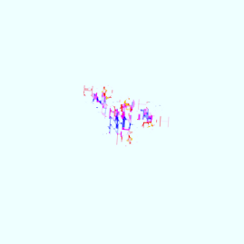 Cc1cccc(Nc2nc(Nc3cc(S(=O)(=O)O)cc4cc(S(=O)(=O)O)c(/N=N/c5cccc6ccccc56)c(O)c34)nc(Nc3cc(S(=O)(=O)O)cc4cc(S(=O)(=O)O)c(/N=N/c5cccc6ccccc56)c(O)c34)n2)c1